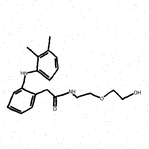 Cc1cccc(Nc2ccccc2CC(=O)NCCOCCO)c1C